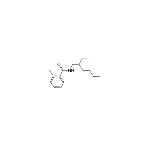 CCCCC(CC)CNC(=O)c1ccccc1C